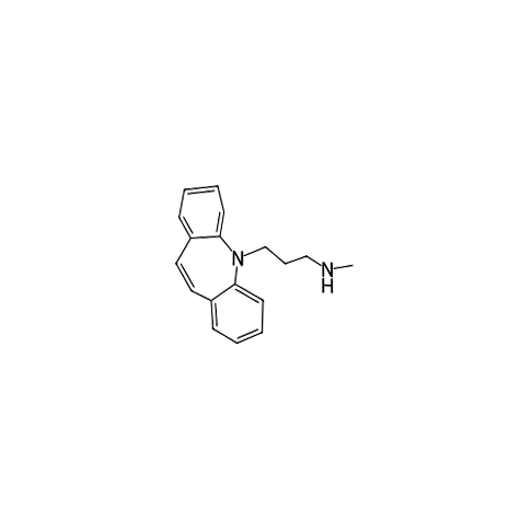 CNCCCN1c2ccccc2C=Cc2ccccc21